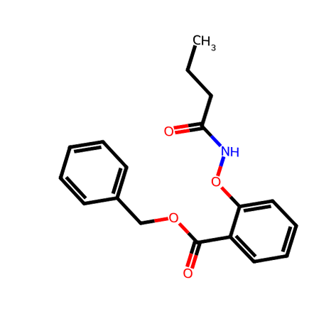 CCCC(=O)NOc1ccccc1C(=O)OCc1ccccc1